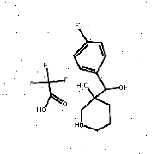 CC1(C(O)c2ccc(F)cc2)CCCNC1.O=C(O)C(F)(F)F